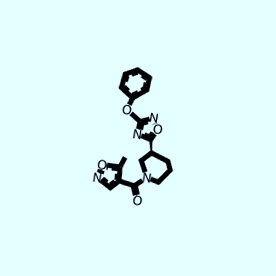 Cc1oncc1C(=O)N1CCC[C@H](c2nc(Oc3ccccc3)no2)C1